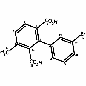 Cc1ccc(C(=O)O)c(-c2cccc(Br)c2)c1C(=O)O